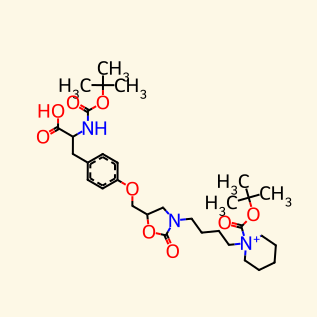 CC(C)(C)OC(=O)NC(Cc1ccc(OCC2CN(CCCC[N+]3(C(=O)OC(C)(C)C)CCCCC3)C(=O)O2)cc1)C(=O)O